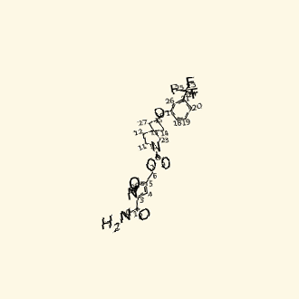 NC(=O)c1cc(COC(=O)N2CCC3(CC(Oc4cccc(C(F)(F)F)c4)C3)C2)on1